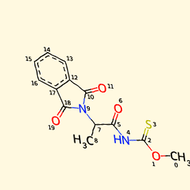 COC(=S)NC(=O)C(C)N1C(=O)c2ccccc2C1=O